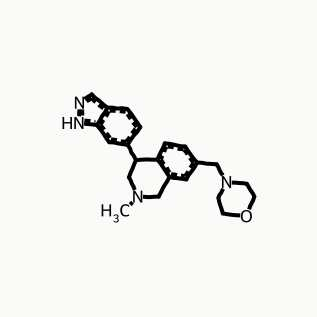 CN1Cc2cc(CN3CCOCC3)ccc2C(c2ccc3cn[nH]c3c2)C1